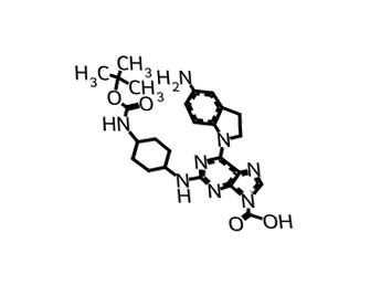 CC(C)(C)OC(=O)NC1CCC(Nc2nc(N3CCc4cc(N)ccc43)c3ncn(C(=O)O)c3n2)CC1